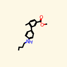 CCCCNc1ccc(-c2cc(C(=O)OC)ccc2C)cc1